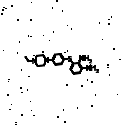 CCN1CCN(c2ccc(Sc3cccc(N)c3N)cc2)CC1